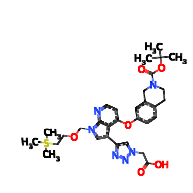 CC(C)(C)OC(=O)N1CCc2ccc(Oc3ccnc4c3c(-c3cn(CC(=O)O)nn3)cn4COCCS(C)(C)C)cc2C1